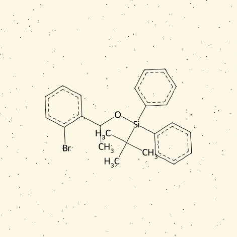 CC(O[Si](c1ccccc1)(c1ccccc1)C(C)(C)C)c1ccccc1Br